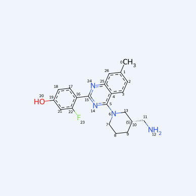 Cc1ccc2c(N3CCC[C@@H](CN)C3)nc(-c3ccc(O)cc3F)nc2c1